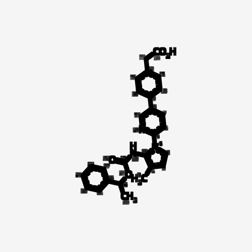 Cc1ccn(-c2ccc(-c3ccc(CC(=O)O)cc3)cn2)c1NC(=O)OC(C)c1ccccc1